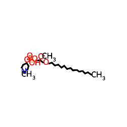 CCCCCCCCCCCCCCCCOCC(COP(=O)(O)OC1CCN(C)CC1)OC